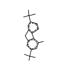 Cc1cc(C(C)(C)C)cc2c1-c1ccc(C(C)(C)C)cc1C2